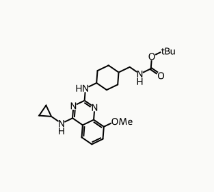 COc1cccc2c(NC3CC3)nc(NC3CCC(CNC(=O)OC(C)(C)C)CC3)nc12